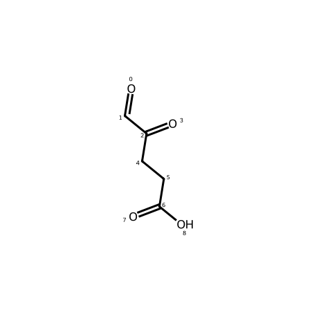 O=CC(=O)CCC(=O)O